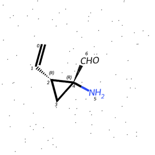 C=C[C@H]1C[C@]1(N)C=O